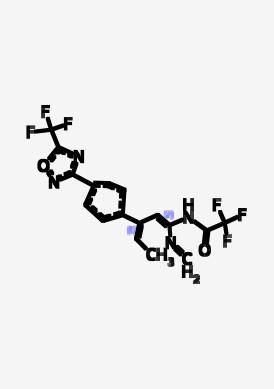 C=N/C(=C\C(=C/C)c1ccc(-c2noc(C(F)(F)F)n2)cc1)NC(=O)C(F)(F)F